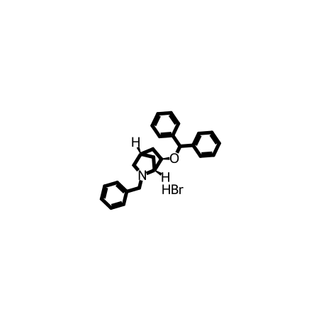 Br.c1ccc(CN2C[C@H]3C[C@@H]2[C@H](OC(c2ccccc2)c2ccccc2)C3)cc1